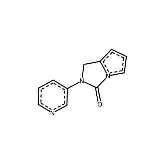 O=C1N(c2cccnc2)Cc2cccn21